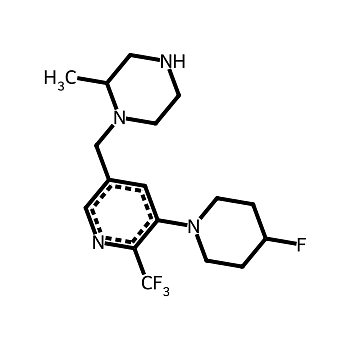 CC1CNCCN1Cc1cnc(C(F)(F)F)c(N2CCC(F)CC2)c1